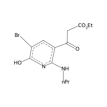 CCCNc1nc(O)c(Br)cc1C(=O)CC(=O)OCC